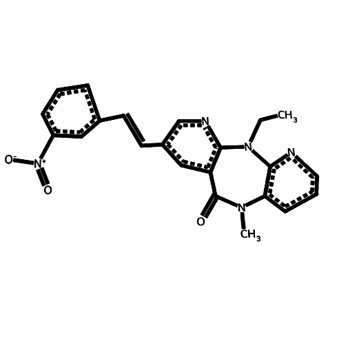 CCN1c2ncc(C=Cc3cccc([N+](=O)[O-])c3)cc2C(=O)N(C)c2cccnc21